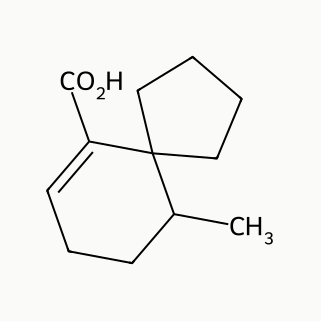 CC1CCC=C(C(=O)O)C12CCCC2